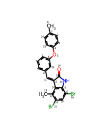 Cc1ccc(Oc2cccc(C=C3C(=O)Nc4c(Br)cc(Br)c(C)c43)c2)cc1